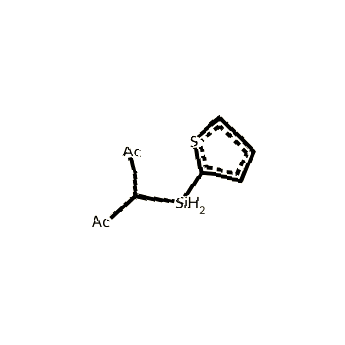 CC(=O)C([SiH2]c1cccs1)C(C)=O